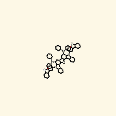 c1ccc(N(c2ccccc2)c2cc3c4cc(N(c5ccccc5)c5ccccc5)c5c(c6ccccc6n5-c5ccc6oc7ccccc7c6c5)c4oc3c3c4ccccc4n(-c4ccc5oc6ccccc6c5c4)c23)cc1